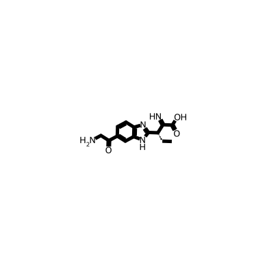 CC[C@@H](C(=N)C(=O)O)c1nc2ccc(C(=O)CN)cc2[nH]1